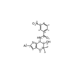 CC(=O)c1cc2c(s1)C(NC(=O)c1cccc([N+](=O)[O-])c1)C(O)C(C)(C)O2